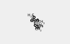 Cc1ccc(C(NC(=O)Cc2ccc3c(c2)C(C)(O)C(=O)N3C)c2ccc(C)o2)c(N2CCCCC2)c1